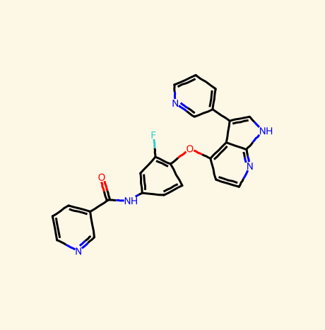 O=C(Nc1ccc(Oc2ccnc3[nH]cc(-c4cccnc4)c23)c(F)c1)c1cccnc1